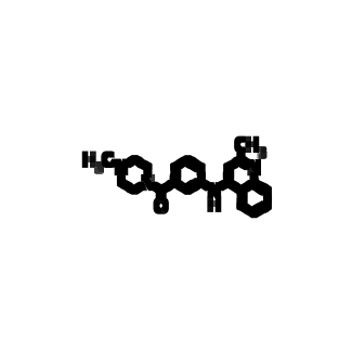 Cc1cc(Nc2cccc(C(=O)N3CCN(C)CC3)c2)c2ccccc2n1